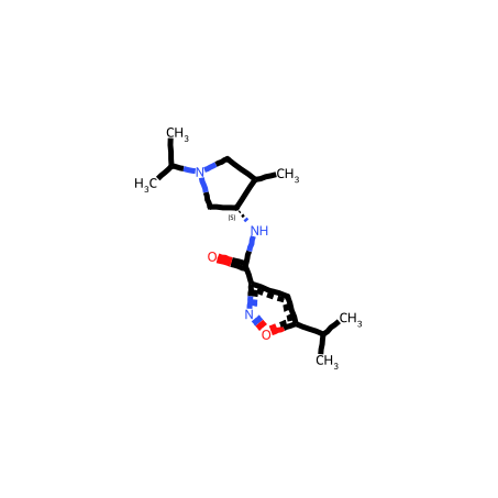 CC(C)c1cc(C(=O)N[C@@H]2CN(C(C)C)CC2C)no1